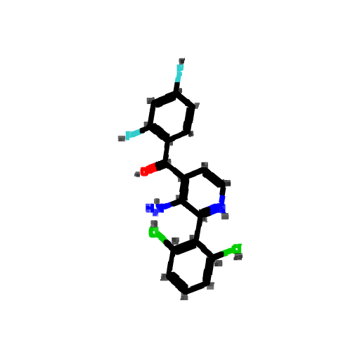 Nc1c(C(=O)c2ccc(F)cc2F)ccnc1-c1c(Cl)cccc1Cl